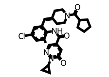 Cc1cc(Cl)cc(C=C2CCN(C(=O)C3CCCC3)CC2)c1NC(=O)c1cnn(C2CC2)c(=O)c1